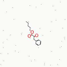 CCCCCOC(=O)C(=O)Cc1ccccc1